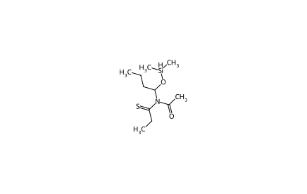 CCCC(O[SiH](C)C)N(C(C)=O)C(=S)CC